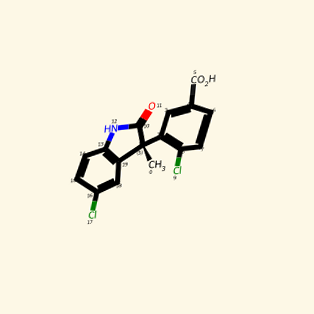 C[C@]1(c2cc(C(=O)O)ccc2Cl)C(=O)Nc2ccc(Cl)cc21